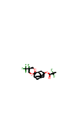 CC(F)(F)C(=O)OC12CC3CC(C1)C1(OCC(F)(C(F)(F)F)CO1)C(C3)C2